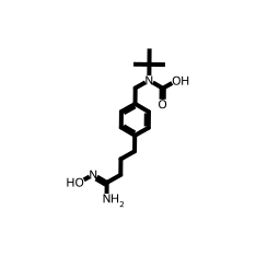 CC(C)(C)N(Cc1ccc(CCCC(N)=NO)cc1)C(=O)O